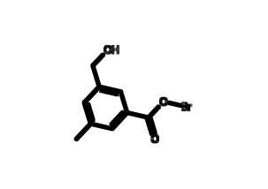 Cc1cc(CO)cc(C(=O)OBr)c1